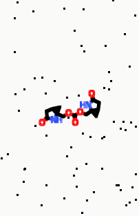 O=C1CC2CC2(COC(=O)OCC23CC2CC(=O)N3)N1